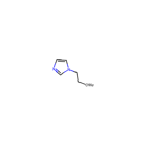 [CH2]OCCn1ccnc1